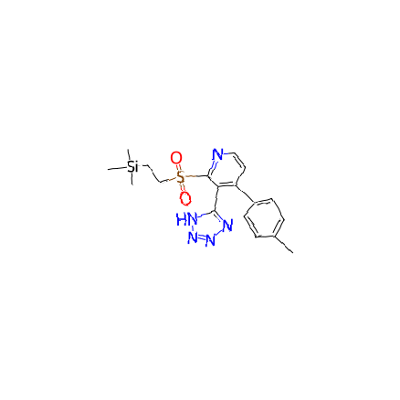 Cc1ccc(-c2ccnc(S(=O)(=O)CC[Si](C)(C)C)c2-c2nnn[nH]2)cc1